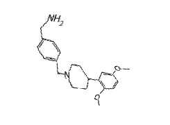 COc1ccc(OC)c(C2CCN(Cc3ccc(CN)cc3)CC2)c1